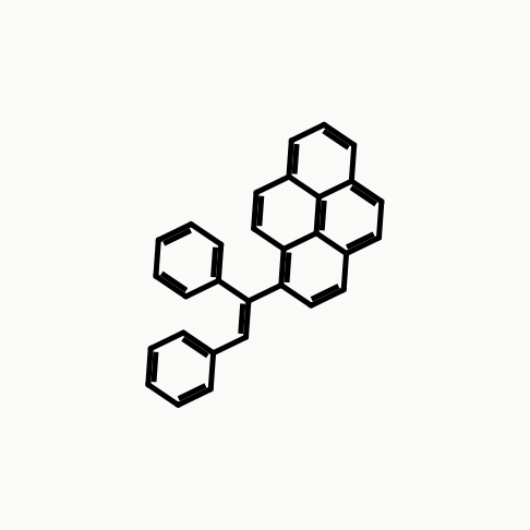 C(=C(c1ccccc1)c1ccc2ccc3cccc4ccc1c2c34)c1ccccc1